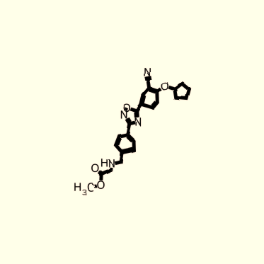 COC(=O)CNCc1ccc(-c2noc(-c3ccc(OC4CCCC4)c(C#N)c3)n2)cc1